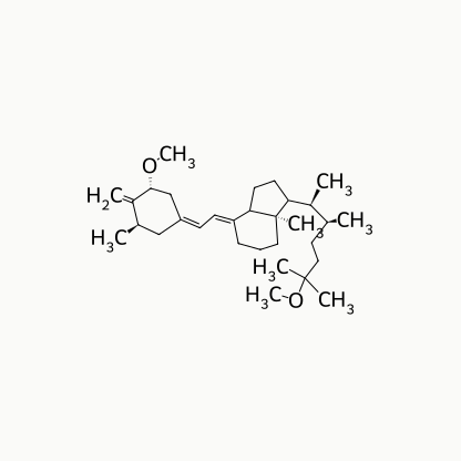 C=C1[C@H](C)C/C(=C/C=C2\CCC[C@@]3(C)C2CCC3[C@@H](C)[C@@H](C)CCC(C)(C)OC)C[C@H]1OC